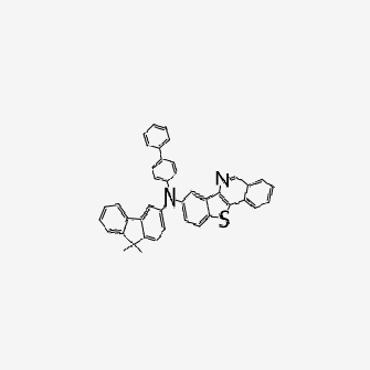 CC1(C)c2ccccc2-c2cc(N(c3ccc(-c4ccccc4)cc3)c3ccc4sc5c6ccccc6cnc5c4c3)ccc21